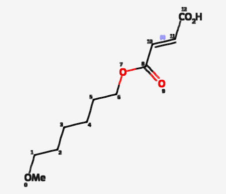 COCCCCCCOC(=O)/C=C/C(=O)O